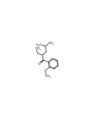 CCC(CN(C)C)C(=O)c1ccccc1SC